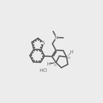 CN(C)CC1=C(c2cccc3ccsc23)[C@H]2CC[C@H](C1)C2.Cl